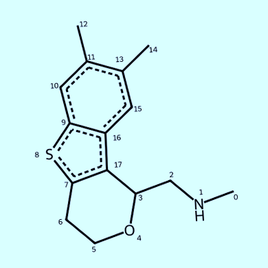 CNCC1OCCc2sc3cc(C)c(C)cc3c21